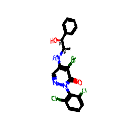 C[C@@H](Nc1cnn(-c2c(Cl)cccc2Cl)c(=O)c1Br)[C@@H](O)c1ccccc1